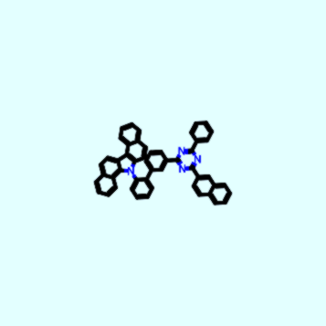 c1ccc(-c2nc(-c3cccc(-c4ccccc4-n4c5ccc6ccccc6c5c5ccc6ccccc6c54)c3)nc(-c3ccc4ccccc4c3)n2)cc1